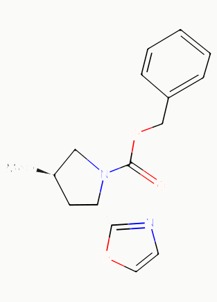 CO[C@@H]1C[C@@H](c2ncco2)N(C(=O)OCc2ccccc2)C1